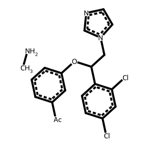 CC(=O)c1cccc(OC(Cn2ccnc2)c2ccc(Cl)cc2Cl)c1.CN